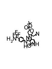 CC(C)(C)OC(=O)C1CCC(CC#N)(n2nc(Nc3ccc(C(N)C(F)(F)F)cc3)c3c(=O)[nH]ccc32)CO1